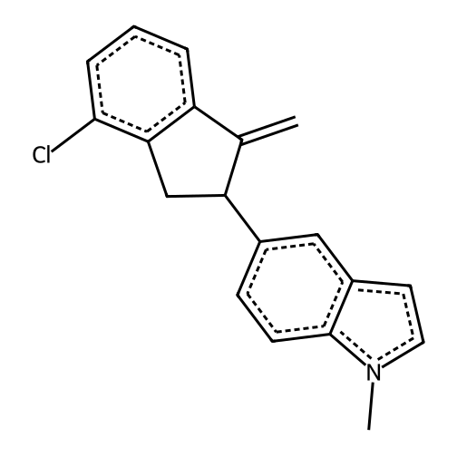 C=C1c2cccc(Cl)c2CC1c1ccc2c(ccn2C)c1